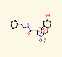 CN1CC[C@]23C[C@@H](C(=O)NCCc4ccccc4)C[C@@]2(O)[C@H]1Cc1ccc(O)cc13